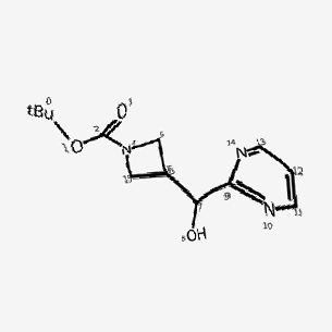 CC(C)(C)OC(=O)N1CC(C(O)c2ncccn2)C1